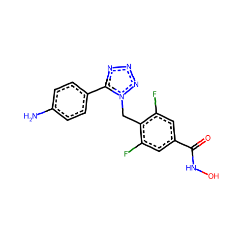 Nc1ccc(-c2nnnn2Cc2c(F)cc(C(=O)NO)cc2F)cc1